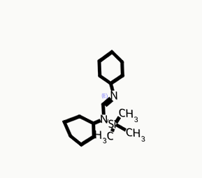 C[Si](C)(C)N(/C=N/C1CCCCC1)C1CCCCC1